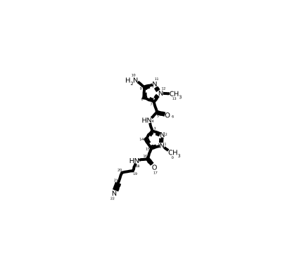 Cn1nc(NC(=O)c2cc(N)nn2C)cc1C(=O)NCCC#N